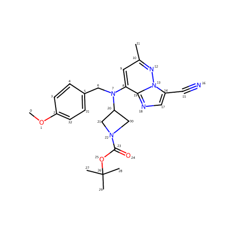 COc1ccc(CN(c2cc(C)nn3c(C#N)cnc23)C2CN(C(=O)OC(C)(C)C)C2)cc1